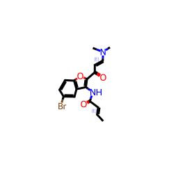 C/C=C/C(=O)Nc1c(C(=O)/C=C/N(C)C)oc2ccc(Br)cc12